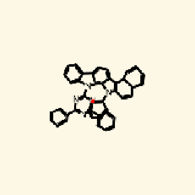 C1=CC2C=Cc3c(c4ccc5c6ccccc6n(-c6nc(-c7ccccc7)nc(-c7ccccc7)n6)c5c4n3-c3ccccc3)C2C=C1